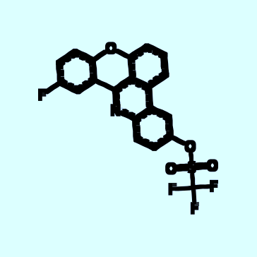 O=S(=O)(Oc1ccc2nc3c4c(cccc4c2c1)Oc1ccc(F)cc1-3)C(F)(F)F